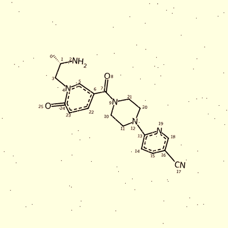 C[C@H](N)Cn1cc(C(=O)N2CCN(c3ccc(C#N)cn3)CC2)ccc1=O